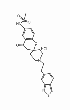 CS(=O)(=O)Nc1ccc2c(c1)C(=O)CC1(CCN(CCc3ccc4nsnc4c3)CC1)O2.Cl